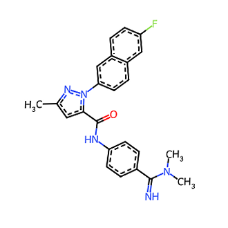 Cc1cc(C(=O)Nc2ccc(C(=N)N(C)C)cc2)n(-c2ccc3cc(F)ccc3c2)n1